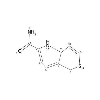 NC(=O)C1=CC=C2CSC=CC2N1